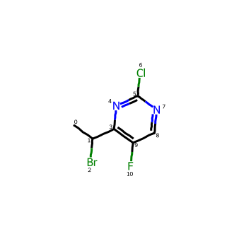 CC(Br)c1nc(Cl)ncc1F